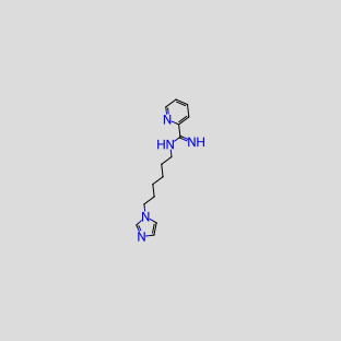 N=C(NCCCCCCn1ccnc1)c1ccccn1